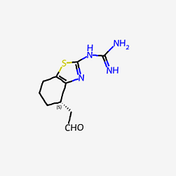 N=C(N)Nc1nc2c(s1)CCC[C@H]2CC=O